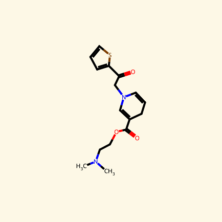 CN(C)CCOC(=O)C1=CN(CC(=O)c2cccs2)C=CC1